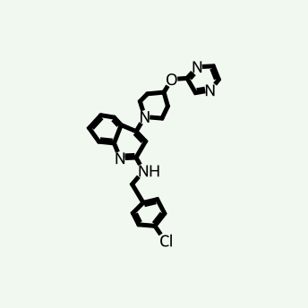 Clc1ccc(CNc2cc(N3CCC(Oc4cnccn4)CC3)c3ccccc3n2)cc1